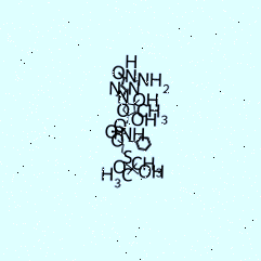 CC(C)(CO)C(=O)SCCOP(=O)(NCc1ccccc1)OC[C@H]1O[C@@H](n2cnc3c(=O)[nH]c(N)nc32)C(O)[C@]1(C)O